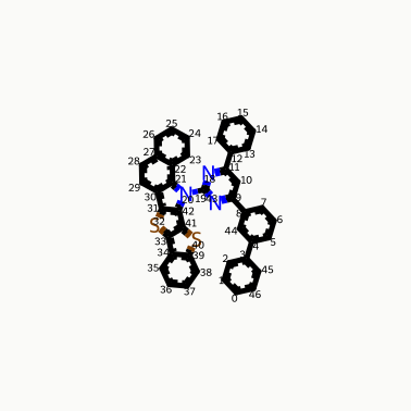 c1ccc(-c2cccc(-c3cc(-c4ccccc4)nc(-n4c5c6ccccc6ccc5c5sc6c7ccccc7sc6c54)n3)c2)cc1